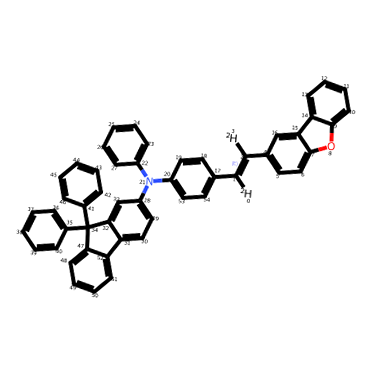 [2H]/C(=C(/[2H])c1ccc2oc3ccccc3c2c1)c1ccc(N(c2ccccc2)c2ccc3c(c2)C(c2ccccc2)(c2ccccc2)c2ccccc2-3)cc1